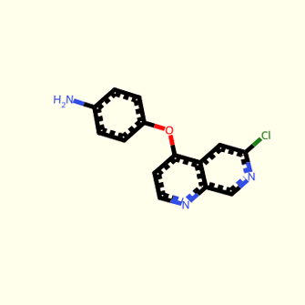 Nc1ccc(Oc2ccnc3cnc(Cl)cc23)cc1